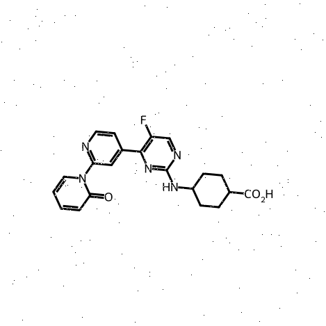 O=C(O)C1CCC(Nc2ncc(F)c(-c3ccnc(-n4ccccc4=O)c3)n2)CC1